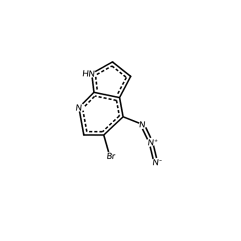 [N-]=[N+]=Nc1c(Br)cnc2[nH]ccc12